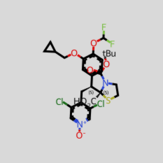 CC(C)(C)OC(=O)N1CCS[C@]1(C(=O)O)[C@@H](Cc1c(Cl)c[n+]([O-])cc1Cl)c1ccc(OC(F)F)c(OCC2CC2)c1